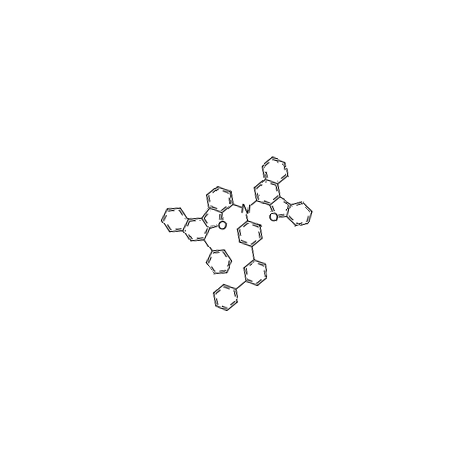 c1ccc(-c2cccc(-c3ccc(N(c4cccc5c4oc4c(-c6ccccc6)cc6ccccc6c45)c4cc5ccccc5c5c4oc4ccccc45)cc3)c2)cc1